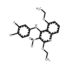 CCOc1nc2cccc(OCC)c2c(Nc2ccc(Cl)c(F)c2)c1[N+](=O)[O-]